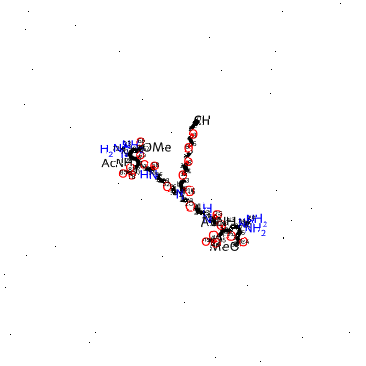 C#CCOCCOCCOCCOCCC(=O)N(CCOCCCNC(=O)CO[C@@H]([C@@H]1OC(C(=O)OC)=C[C@H](N=C(N)N)[C@H]1NC(C)=O)[C@H]1COC(=O)O1)CCOCCCNC(=O)CO[C@@H]([C@@H]1OC(C(=O)OC)=C[C@H](N=C(N)N)[C@H]1NC(C)=O)[C@H]1COC(=O)O1